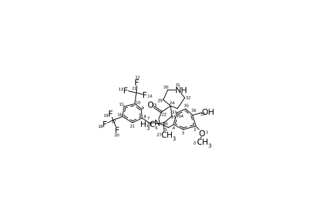 COc1cc(CN(Cc2cc(C(F)(F)F)cc(C(F)(F)F)c2)C(=O)C2(CC(C)C)CCNCC2)ccc1O